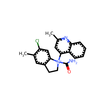 Cc1cc([N+]2(C(N)=O)CCc3cc(C)c(Cl)cc32)c2ccccc2n1